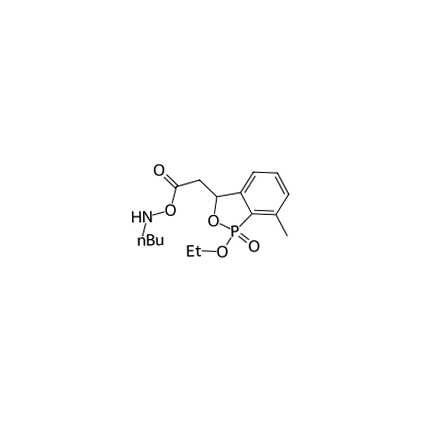 CCCCNOC(=O)CC1OP(=O)(OCC)c2c(C)cccc21